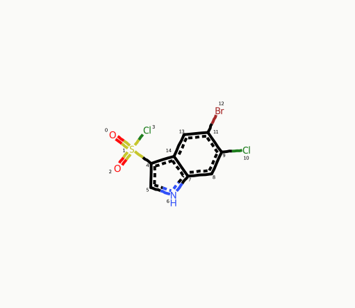 O=S(=O)(Cl)c1c[nH]c2cc(Cl)c(Br)cc12